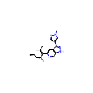 C=C/C=C(/F)C(=C(C)C)c1cc2c(-c3cnn(C)c3)n[nH]c2cn1